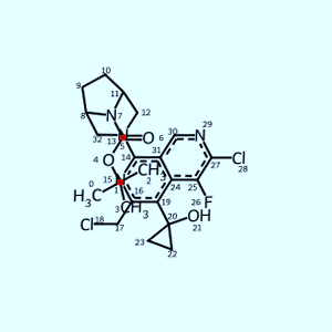 CC(C)(C)OC(=O)N1C2CCC1CN(c1nc(CCl)c(C3(O)CC3)c3c(F)c(Cl)ncc13)C2